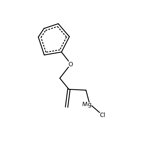 C=C(COc1ccccc1)[CH2][Mg][Cl]